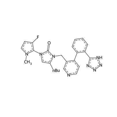 CCCCc1cn(-c2c(F)ccn2C)c(=O)n1Cc1cnccc1-c1ccccc1-c1nnn[nH]1